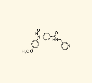 COc1ccc(N(N=O)c2ccc(C(=O)NCc3cccnc3)cc2)cc1